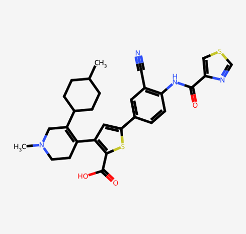 CC1CCC(C2=C(c3cc(-c4ccc(NC(=O)c5cscn5)c(C#N)c4)sc3C(=O)O)CCN(C)C2)CC1